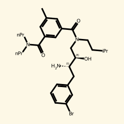 CCCN(CCC)C(=O)c1cc(C)cc(C(=O)N(CCC(C)C)C[C@@H](O)[C@@H](N)Cc2cccc(Br)c2)c1